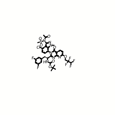 CC(=O)N(c1nn(C)c2c(-n3c([C@H](Cc4cc(F)cc(F)c4)NC(=O)OC(C)(C)C)nc4nc(OCC(F)(F)C(F)F)ccc4c3=O)ccc(Cl)c12)S(C)(=O)=O